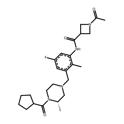 CC(=O)N1CC(C(=O)Nc2cc(F)cc(CN3CCN(C(=O)C4CCCC4)[C@@H](C)C3)c2C)C1